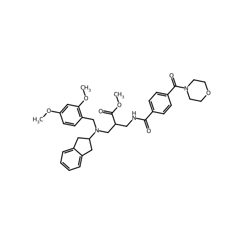 COC(=O)C(CNC(=O)c1ccc(C(=O)N2CCOCC2)cc1)CN(Cc1ccc(OC)cc1OC)C1Cc2ccccc2C1